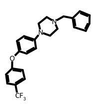 FC(F)(F)c1ccc(Oc2ccc(N3CCN(Cc4ccccc4)CC3)cc2)cc1